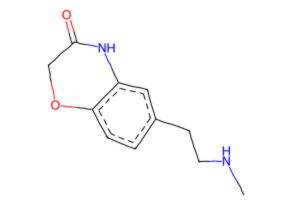 CNCCc1ccc2c(c1)NC(=O)CO2